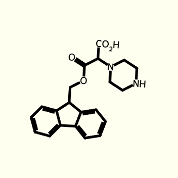 O=C(O)C(C(=O)OCC1c2ccccc2-c2ccccc21)N1CCNCC1